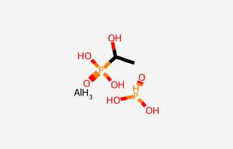 CC(O)P(=O)(O)O.O=[PH](O)O.[AlH3]